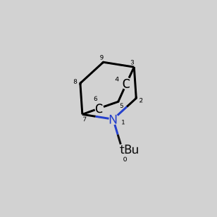 CC(C)(C)N1CC2CCCC1CC2